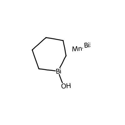 [Bi].[Mn].[OH][Bi]1[CH2]CCC[CH2]1